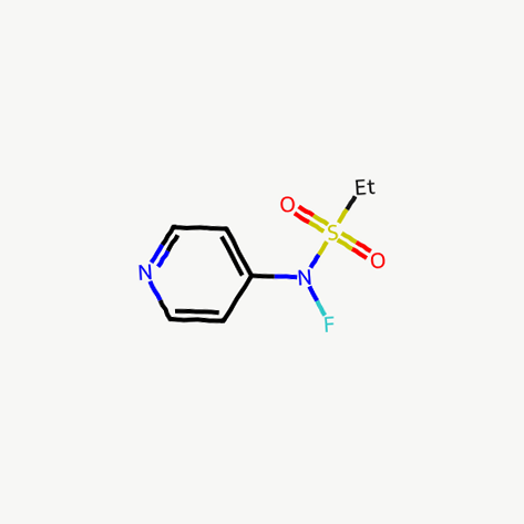 CCS(=O)(=O)N(F)c1ccncc1